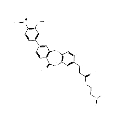 COc1cc(-c2ccc3c(c2)Nc2ccc(CCC(=O)NCCN(C)C)cc2NC3=O)ccc1[N+](=O)[O-]